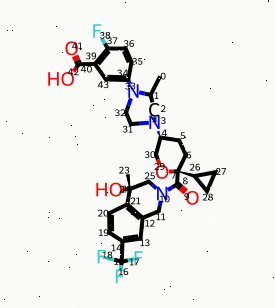 CC1CN([C@@H]2CC[C@@](C(=O)N3Cc4cc(C(F)(F)F)ccc4[C@](C)(O)C3)(C3CC3)OC2)CCN1c1ccc(F)c(C(=O)O)c1